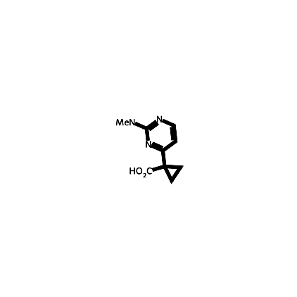 CNc1nccc(C2(C(=O)O)CC2)n1